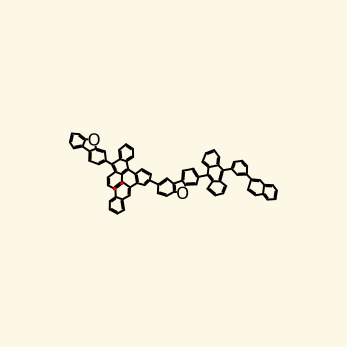 c1cc(-c2ccc3ccccc3c2)cc(-c2c3ccccc3c(-c3ccc4c(c3)oc3ccc(-c5ccc(-c6c7ccccc7c(-c7ccc8c(c7)oc7ccccc78)c7ccccc67)c(-c6ccc7ccccc7c6)c5)cc34)c3ccccc23)c1